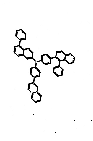 c1ccc(-c2cccc3cc(N(c4ccc(-c5ccc6ccccc6c5)cc4)c4ccc(-c5ccc6ccccc6c5-c5ccccc5)cc4)ccc23)cc1